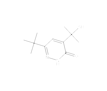 CC(C)(C)c1cc(C(C)(C)S)c(=O)[nH]n1